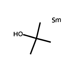 CC(C)(C)O.[Sm]